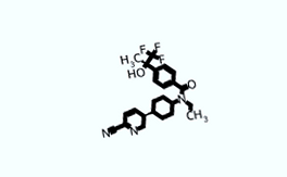 CCN(C(=O)c1ccc([C@](C)(O)C(F)(F)F)cc1)C1CCC([C@@H]2C=CC(C#N)=NC2)CC1